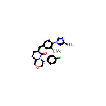 COc1cc(C=C2CCC3=COC[C@H](c4ccc(F)cc4)N3C2=O)ccc1-n1cnc(C)c1